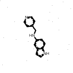 c1cc(CNc2ccc3[nH]ccc3c2)ccn1